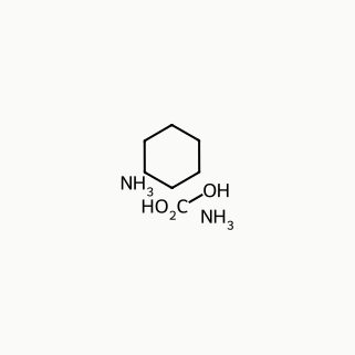 C1CCCCC1.N.N.O=C(O)O